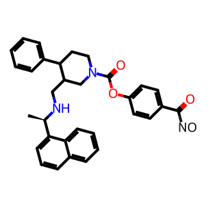 C[C@@H](NCC1CN(C(=O)Oc2ccc(C(=O)N=O)cc2)CCC1c1ccccc1)c1cccc2ccccc12